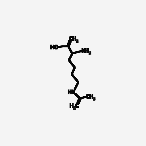 C=C(C)NCCCCC(N)C(=C)O